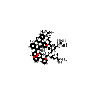 N=C(N)NCCC[C@H](NC(=O)[C@H](CCCNC(=N)N)NC(=O)[C@@H](N)CCCNC(=N)N)C(=O)N[C@H](C(=O)N[C@H](C(=O)N[C@H](C(=O)O)C(c1ccccc1)c1ccccc1)C(c1ccccc1)c1ccccc1)C(c1ccccc1)c1ccccc1